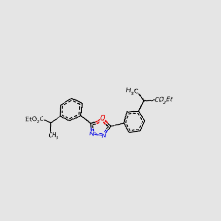 CCOC(=O)C(C)c1cccc(-c2nnc(-c3cccc(C(C)C(=O)OCC)c3)o2)c1